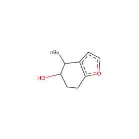 CCCCC1c2ccoc2CCC1O